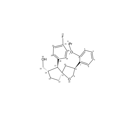 CC(C)Oc1ccccc1[C@H]1CO[C@]2(CC[C@H](CO)[C@H]2c2ccc(F)cc2)C1